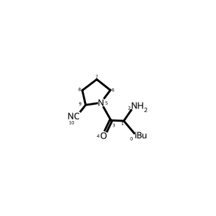 CCC(C)C(N)C(=O)N1CCCC1C#N